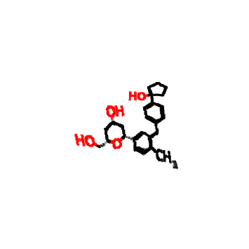 Cc1ccc([C@H]2C[C@@H](O)C[C@@H](CO)O2)cc1Cc1ccc(C2(O)CCCC2)cc1